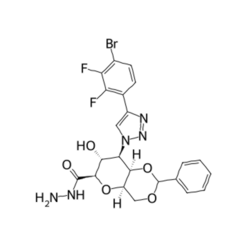 NNC(=O)[C@@H]1O[C@@H]2COC(c3ccccc3)O[C@@H]2[C@H](n2cc(-c3ccc(Br)c(F)c3F)nn2)[C@H]1O